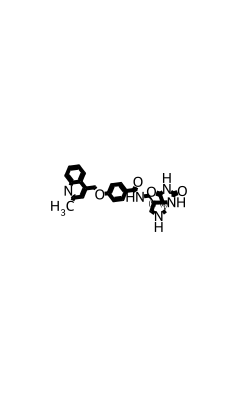 Cc1cc(COc2ccc(C(=O)NC[C@@H]3CNC[C@]34NC(=O)NC4=O)cc2)c2ccccc2n1